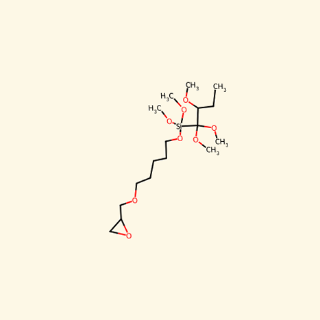 CCC(OC)C(OC)(OC)[Si](OC)(OC)OCCCCCOCC1CO1